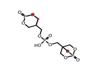 O=P(O)(OCC12COP(=O)(OC1)OC2)OCC12COP(=O)(OC1)OC2